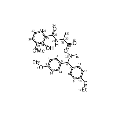 CCOc1ccc(C(c2ccc(OCC)cc2)N(C)OC(=O)[C@H](C)NC(=O)c2nccc(OC)c2O)cc1